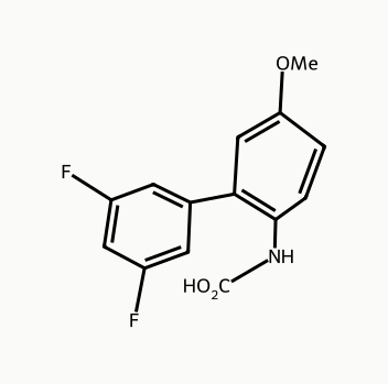 COc1ccc(NC(=O)O)c(-c2cc(F)cc(F)c2)c1